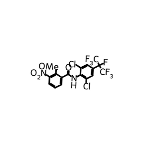 COc1c(C(=O)Nc2c(Cl)cc(C(F)(C(F)(F)F)C(F)(F)F)cc2Cl)cccc1[N+](=O)[O-]